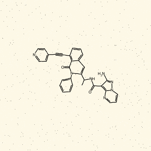 CC(NC(=O)c1c(N)nn2cccnc12)c1cc2cccc(C#Cc3ccncc3)c2c(=O)n1-c1ccccc1